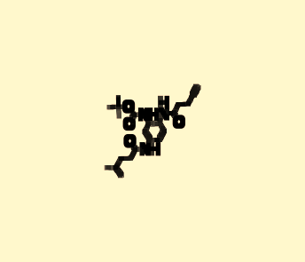 C#CCCC(=O)Nc1ccc(NC(=O)CCC(=C)C)cc1NC(=O)OC(C)(C)C